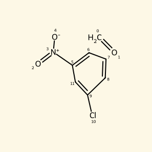 C=O.O=[N+]([O-])c1cccc(Cl)c1